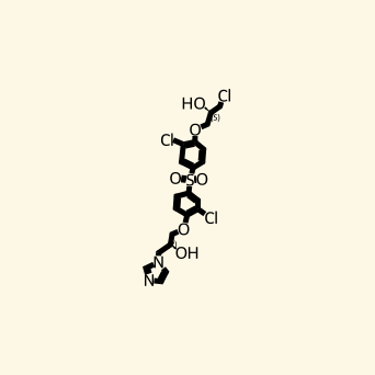 O=S(=O)(c1ccc(OC[C@H](O)CCl)c(Cl)c1)c1ccc(OC[C@H](O)Cn2ccnc2)c(Cl)c1